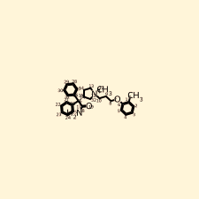 Cc1ccccc1OCCC[N+]1(C)CC[C@@H](C(C(N)=O)(c2ccccc2)c2ccccc2)C1